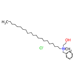 CCCCCCCCCCCCCCCCCCCCC[N+](C)(CCO)Cc1ccccc1.[Cl-]